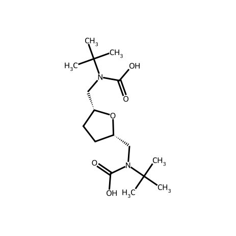 CC(C)(C)N(C[C@H]1CC[C@@H](CN(C(=O)O)C(C)(C)C)O1)C(=O)O